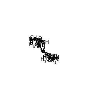 Cc1ncsc1-c1ccc(CNC(=O)[C@@H]2C[C@@H](O)CN2C(=O)[C@@H](NC(=O)CCCCN2CCC(c3ccc(C(=O)N[C@H]4C(C)(C)[C@H](Oc5ccc(C#N)c(Cl)c5)C4(C)C)cc3)CC2)C(C)(C)C)cc1